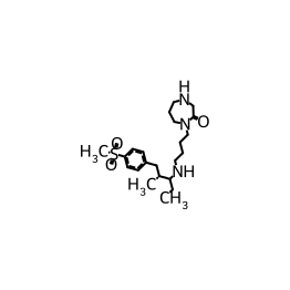 CCC(NCCCCN1CCCNCC1=O)[C@@H](C)Cc1ccc(S(C)(=O)=O)cc1